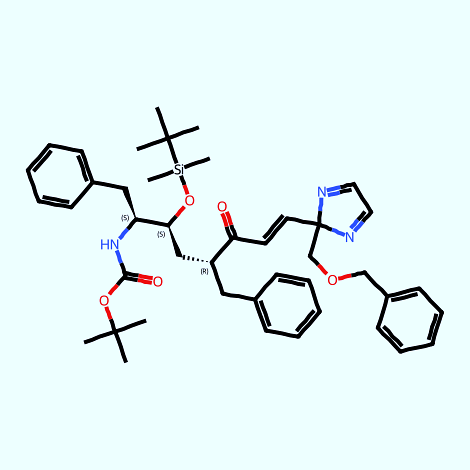 CC(C)(C)OC(=O)N[C@@H](Cc1ccccc1)[C@H](C[C@@H](Cc1ccccc1)C(=O)C=CC1(COCc2ccccc2)N=CC=N1)O[Si](C)(C)C(C)(C)C